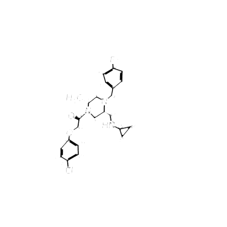 C[C@@H]1CN(Cc2ccc(F)cc2)[C@@H](CNC2CC2)CN1C(=O)COc1ccc(Cl)cc1